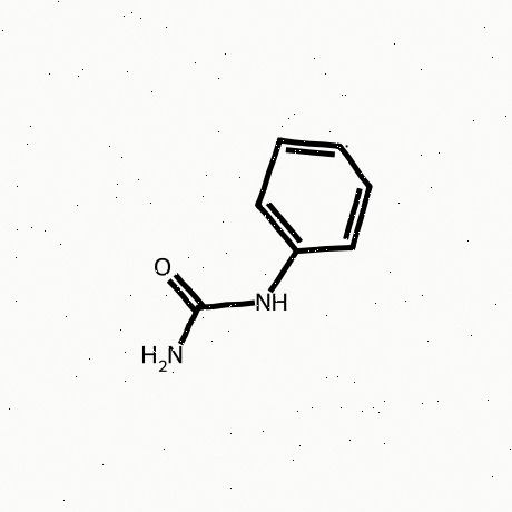 NC(=O)Nc1cc[c]cc1